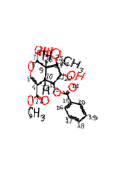 COC(=O)C1=COC(O)[C@H]2[C@@H]1[C@H](OC(=O)c1ccccc1)[C@H](O)[C@]2(C)O